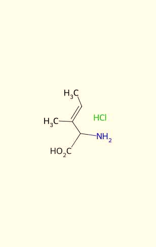 C/C=C(\C)C(N)C(=O)O.Cl